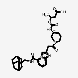 CC(CC(=O)O)OC(=O)N[C@@H]1CCCN(C(=O)Cc2cn3c(C(=O)NCC45CC6CC(CC(C6)C4)C5)cccc3n2)C1